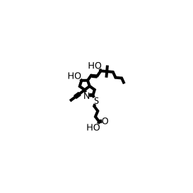 CC#CC12CC(O)C(C=CC(O)C(C)(C)CCCC)C1CC(SCCCC(=O)O)=N2